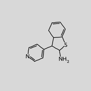 NC1SC2=CC=CCC2C1c1ccncc1